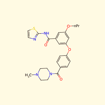 CCCOc1cc(Oc2ccc(C(=O)N3CCN(C)CC3)cc2)cc(C(=O)Nc2nccs2)c1